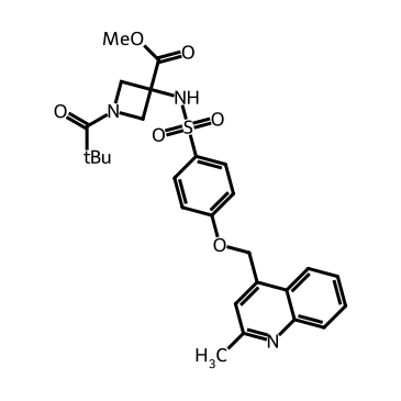 COC(=O)C1(NS(=O)(=O)c2ccc(OCc3cc(C)nc4ccccc34)cc2)CN(C(=O)C(C)(C)C)C1